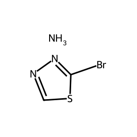 Brc1nncs1.N